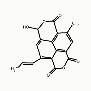 C/C=C/c1cc2c3c(c(C)cc4c3c1C(=O)OC4=O)C(=O)OC2O